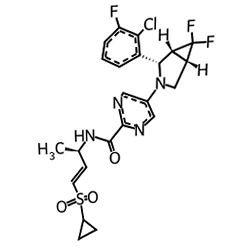 C[C@H](/C=C/S(=O)(=O)C1CC1)NC(=O)c1ncc(N2C[C@@H]3[C@H]([C@H]2c2cccc(F)c2Cl)C3(F)F)cn1